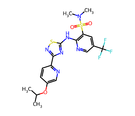 CC(C)Oc1ccc(-c2nsc(Nc3ncc(C(F)(F)F)cc3S(=O)(=O)N(C)C)n2)nc1